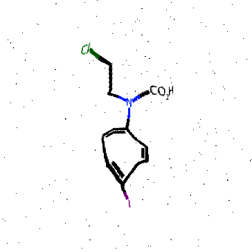 O=C(O)N(CCCl)c1ccc(I)cc1